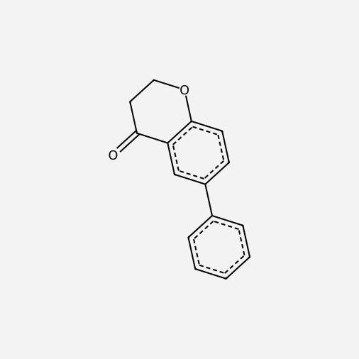 O=C1CCOc2ccc(-c3ccccc3)cc21